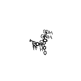 O=C(O)CCNC(=O)c1ccc(CC(C(=O)Nc2ccc(OCC3CC3)c(C(F)(F)F)c2)c2ccc(C3CCCCC3)cc2)cc1